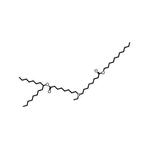 CCCCCCCCCCCOC(=O)CCCCCCCN(CC)CCCCCCCC(=O)OC(CCCCCCC)CCCCCCCC